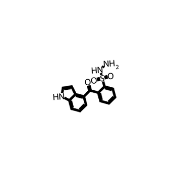 NNS(=O)(=O)c1ccccc1C(=O)c1cccc2[nH]ccc12